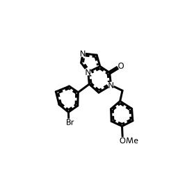 COc1ccc(Cn2cc(-c3cccc(Br)c3)n3cncc3c2=O)cc1